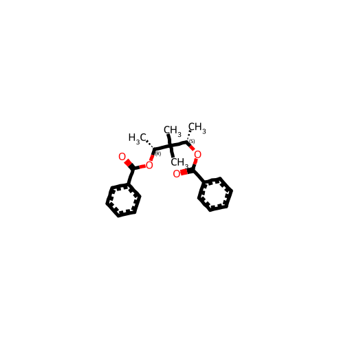 C[C@H](OC(=O)c1ccccc1)C(C)(C)[C@@H](C)OC(=O)c1ccccc1